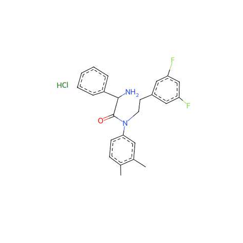 Cc1ccc(N(CCc2cc(F)cc(F)c2)C(=O)C(N)c2ccccc2)cc1C.Cl